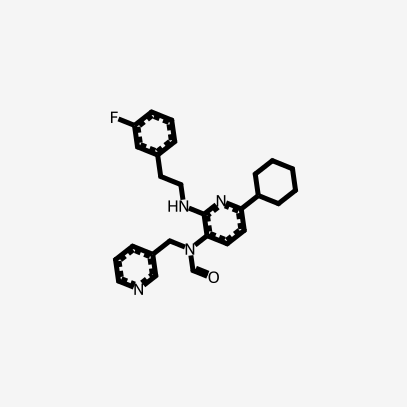 O=CN(Cc1cccnc1)c1ccc(C2CCCCC2)nc1NCCc1cccc(F)c1